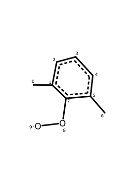 Cc1cccc(C)c1O[O]